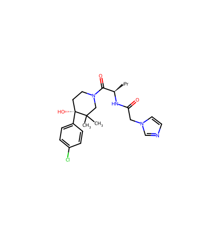 CC(C)[C@@H](NC(=O)Cn1ccnc1)C(=O)N1CC[C@](O)(c2ccc(Cl)cc2)C(C)(C)C1